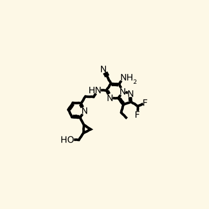 CCc1c(C(F)F)nn2c(N)c(C#N)c(NCCc3cccc(C4CC4CO)n3)nc12